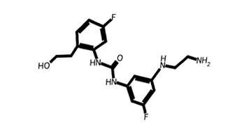 NCCNc1cc(F)cc(NC(=O)Nc2cc(F)ccc2CCO)c1